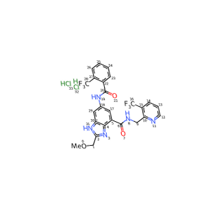 COCc1nc2c(C(=O)NCc3ncccc3C(F)(F)F)cc(NC(=O)c3ccccc3C(F)(F)F)cc2[nH]1.Cl.Cl